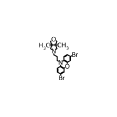 C[C@@]12COC[C@]1(C)CN(CCCN1c3ccc(Br)cc3Oc3cc(Br)ccc31)C2